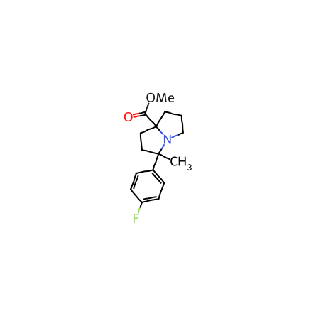 COC(=O)C12CCCN1C(C)(c1ccc(F)cc1)CC2